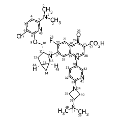 CN(C)c1ccc(Cl)c(OC[C@H]2C[C@@H]3C[C@@H]3N2c2cc3c(cc2F)c(=O)c(C(=O)O)cn3-c2ccc(N3CC(N(C)C)C3)nc2)n1